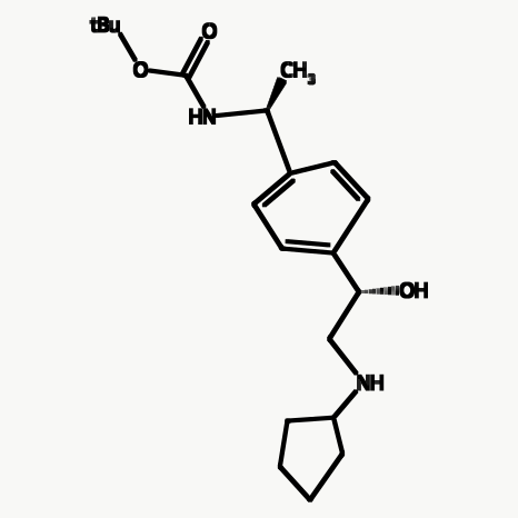 C[C@H](NC(=O)OC(C)(C)C)c1ccc([C@H](O)CNC2CCCC2)cc1